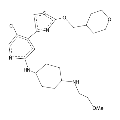 COCCNC1CCC(Nc2cc(-c3csc(OCC4CCOCC4)n3)c(Cl)cn2)CC1